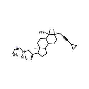 C=C(CN(N)/C=C\N)C1CCC2C3CCC(C)(CC#CC4CC4)C(C)(CCC)C3CCC12C